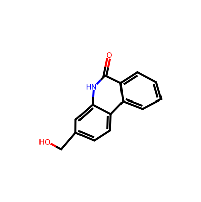 O=c1[nH]c2cc(CO)ccc2c2ccccc12